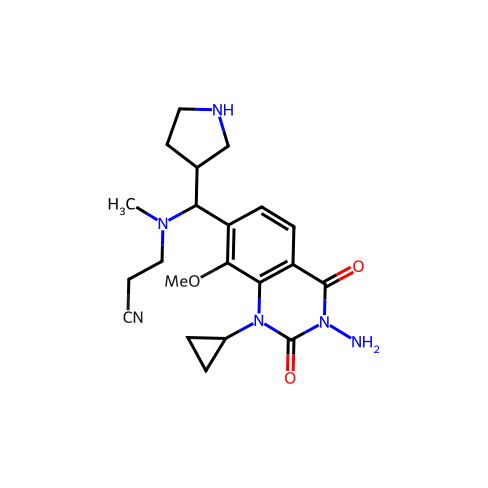 COc1c(C(C2CCNC2)N(C)CCC#N)ccc2c(=O)n(N)c(=O)n(C3CC3)c12